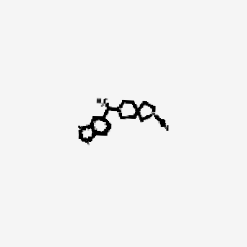 CC(c1ccc2scnc2c1)N1CCC2(CCB(C#N)C2)CC1